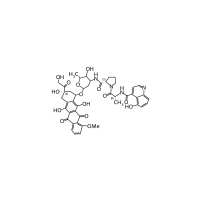 COc1cccc2c1C(=O)c1c(O)c3c(c(O)c1C2=O)C[C@@](O)(C(=O)CO)CC3OC1CC(NC(=O)[C@@H]2CCCN2C(=O)[C@@H](C)NC(=O)c2ccnc3cccc(O)c23)C(O)C(C)O1